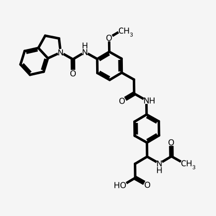 COc1cc(CC(=O)Nc2ccc(C(CC(=O)O)NC(C)=O)cc2)ccc1NC(=O)N1CCc2ccccc21